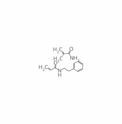 C=C(C)C(N)=O.C=CC(=O)NCCc1ccccc1